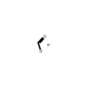 O=[C][O-].[K+]